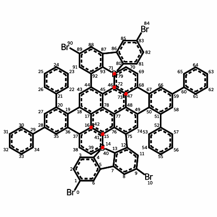 Brc1ccc2c(c1)-c1cc(Br)cc3c1B2c1cc2c(-c4c(-c5ccccc5)cc(-c5ccccc5)cc4-c4ccccc4)cc4c5c(cc6c(-c7c(-c8ccccc8)cc(-c8ccccc8)cc7-c7ccccc7)cc-3c1c6c25)B1c2ccc(Br)cc2-c2cc(Br)cc-4c21